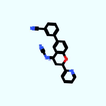 N#C/N=C1/CC(c2ccccn2)Oc2ccc(-c3cccc(C#N)c3)cc21